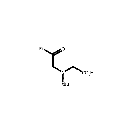 CCC(=O)CN(CC(=O)O)C(C)(C)C